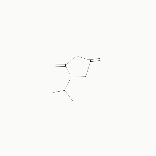 CC(C)N1CC(=O)SC1=O